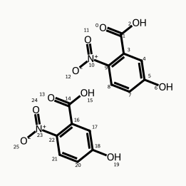 O=C(O)c1cc(O)ccc1[N+](=O)[O-].O=C(O)c1cc(O)ccc1[N+](=O)[O-]